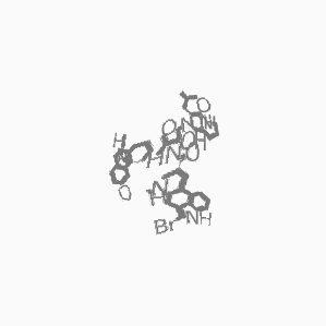 CC(C)C[C@H]1C(=O)N2CCC[C@H]2[C@]2(O)O[C@](NC(=O)[C@@H]3C=C4c5cccc6[nH]c(Br)c(c56)C[C@H]4N(C)C3)(C(C)C)C(=O)N12.COc1ccc2c(c1)[C@]13CCCC[C@@H]1[C@H](C2)N(C)CC3